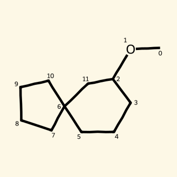 COC1CCCC2(CCCC2)C1